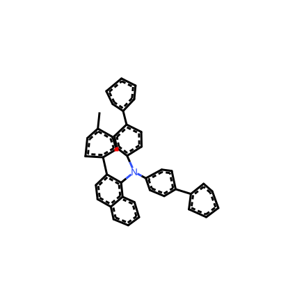 Cc1ccc(-c2ccc3ccccc3c2N(c2ccc(-c3ccccc3)cc2)c2ccc(-c3ccccc3)cc2)cc1